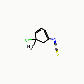 CC1(Cl)C=CC=C(N=C=S)C1